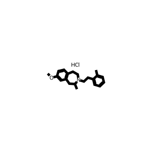 COc1ccc2c(c1)CC(C)N(CCc1ccccc1C)CC2.Cl